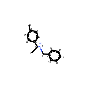 Cc1ccc(C(C)NCc2ccccc2)cc1